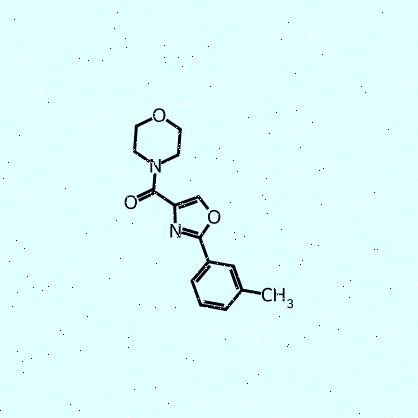 Cc1cccc(-c2nc(C(=O)N3CCOCC3)co2)c1